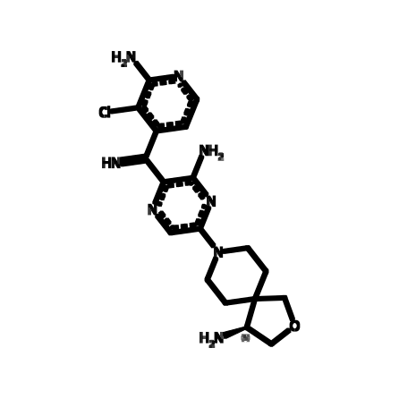 N=C(c1ccnc(N)c1Cl)c1ncc(N2CCC3(CC2)COC[C@H]3N)nc1N